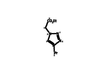 CCOC(=O)Cn1cc(C(C)C)nn1